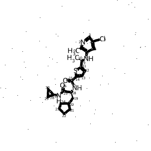 Cc1ncc(Cl)cc1N[C@@H](C)c1ccc(C(=O)N[C@@H](CC2CCCC2)C(=O)NC2CC2)s1